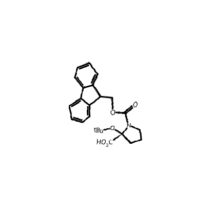 CC(C)(C)O[C@@]1(C(=O)O)CCCN1C(=O)OCC1c2ccccc2-c2ccccc21